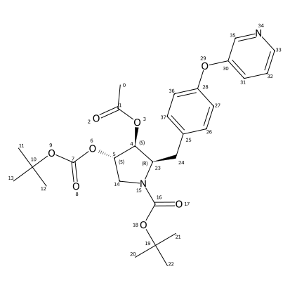 CC(=O)O[C@@H]1[C@@H](OC(=O)OC(C)(C)C)CN(C(=O)OC(C)(C)C)[C@@H]1Cc1ccc(Oc2cccnc2)cc1